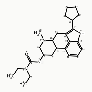 CCN(CC)C(=O)NC1CC2c3cccc4[nH]c(C5CCCC5)c(c34)CC2N(C)C1